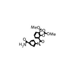 COOc1cccc(C(=O)N(C)c2ccc(C(N)=O)cc2)c1OC(=O)OC